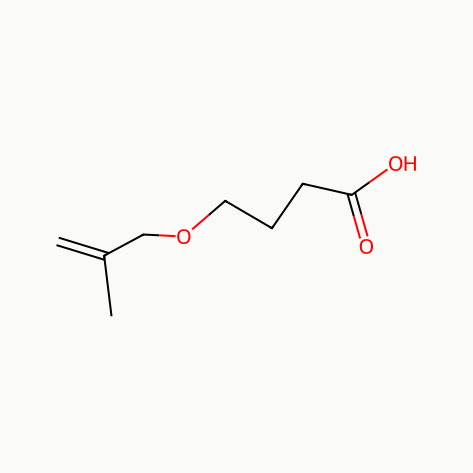 C=C(C)COCCCC(=O)O